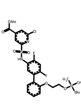 COC(=O)c1cc(Cl)nc(S(=O)(=O)Nc2cc(-c3ccccc3OCCO[Si](C)(C)C(C)(C)C)c(F)cc2F)c1